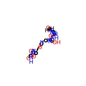 Cn1c(=O)n(C2CCC(=O)NC2=O)c2cccc(C#CCOC3CCN(C[C@H]4CC[C@H](n5cc(NC(=O)c6cnn7ccc(N8C[C@H]9C[C@@H]8CO9)nc67)c(C(C)(C)O)n5)CC4)CC3)c21